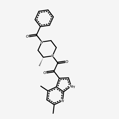 Cc1cc(C)c2c(C(=O)C(=O)N3CCN(C(=O)c4ccccc4)C[C@H]3C)c[nH]c2n1